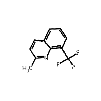 Cc1ccc2cccc(C(F)(F)F)c2n1